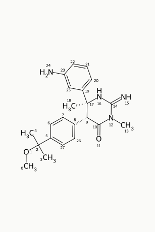 COC(C)(C)c1ccc([C@H]2C(=O)N(C)C(=N)N[C@]2(C)c2cccc(N)c2)cc1